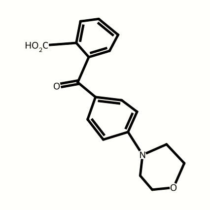 O=C(O)c1ccccc1C(=O)c1ccc(N2CCOCC2)cc1